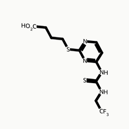 O=C(O)CCCSc1nccc(NC(=S)NCC(F)(F)F)n1